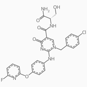 NC(=O)[C@H](CO)NC(=O)c1cn(Cc2ccc(Cl)cc2)c(Nc2ccc(Oc3cccc(F)n3)cc2)nc1=O